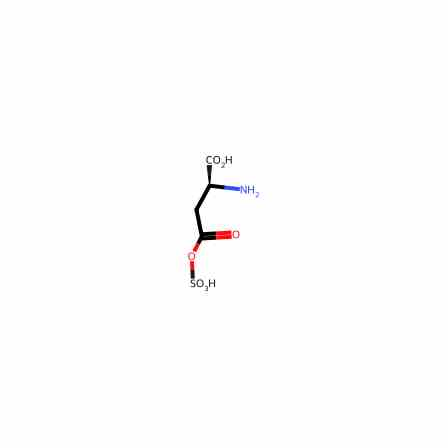 N[C@@H](CC(=O)OS(=O)(=O)O)C(=O)O